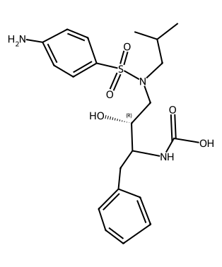 CC(C)CN(C[C@@H](O)C(Cc1ccccc1)NC(=O)O)S(=O)(=O)c1ccc(N)cc1